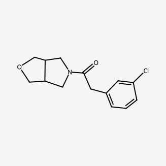 O=C(Cc1cccc(Cl)c1)N1CC2COCC2C1